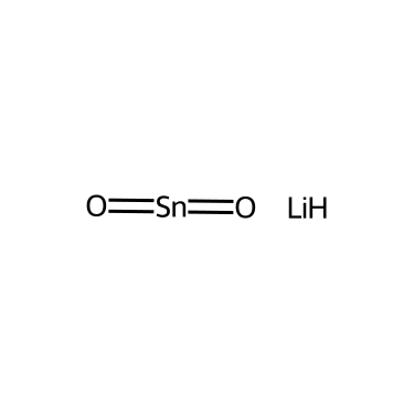 [LiH].[O]=[Sn]=[O]